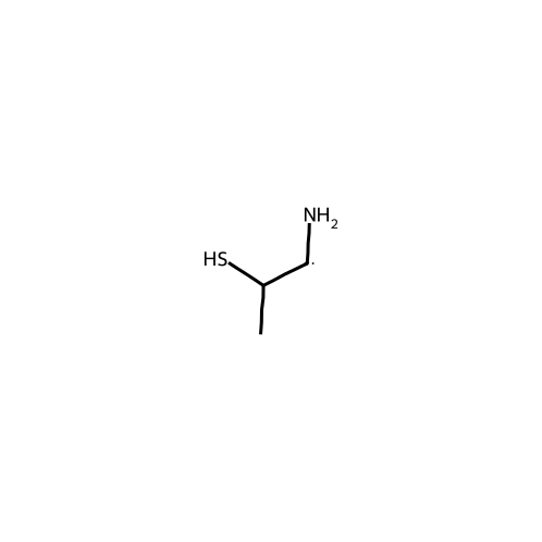 CC(S)[CH]N